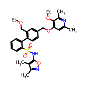 CCOCc1cc(COc2cc(C)nc(C)c2OCC)ccc1-c1ccccc1S(=O)(=O)Nc1onc(C)c1C